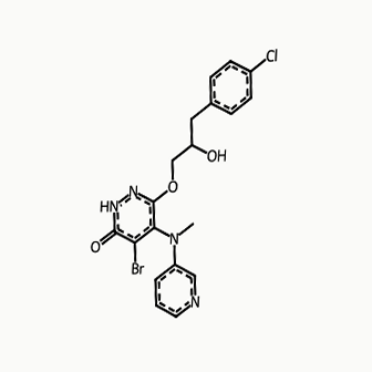 CN(c1cccnc1)c1c(OCC(O)Cc2ccc(Cl)cc2)n[nH]c(=O)c1Br